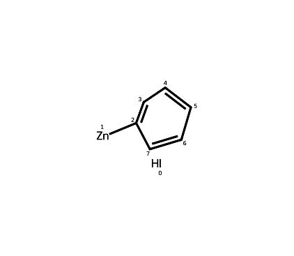 I.[Zn][c]1ccccc1